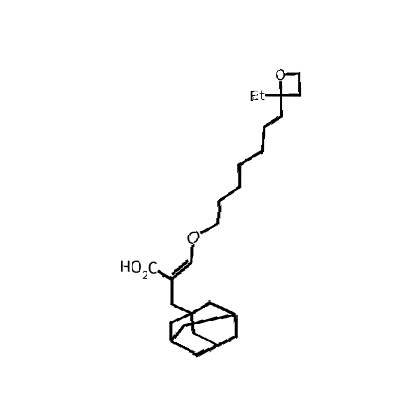 CCC1(CCCCCCCOC=C(CC23CC4CC(CC(C4)C2)C3)C(=O)O)CCO1